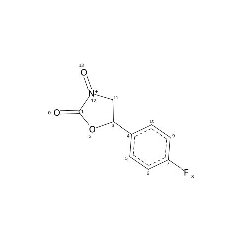 O=C1OC(c2ccc(F)cc2)C[N+]1=O